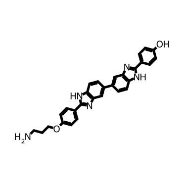 NCCCOc1ccc(-c2nc3cc(-c4ccc5[nH]c(-c6ccc(O)cc6)nc5c4)ccc3[nH]2)cc1